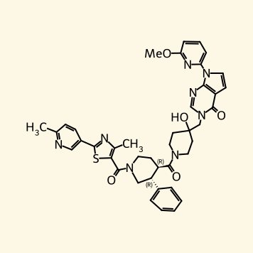 COc1cccc(-n2ccc3c(=O)n(CC4(O)CCN(C(=O)[C@@H]5CCN(C(=O)c6sc(-c7ccc(C)nc7)nc6C)C[C@H]5c5ccccc5)CC4)cnc32)n1